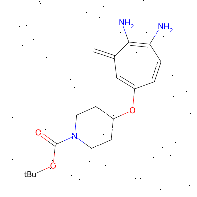 C=C1C=C(OC2CCN(C(=O)OC(C)(C)C)CC2)C=CC(N)=C1N